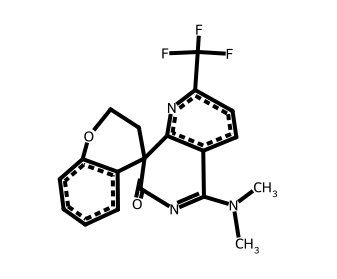 CN(C)C1=NC(=O)C2(CCOc3ccccc32)c2nc(C(F)(F)F)ccc21